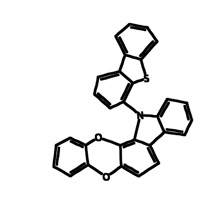 c1ccc2c(c1)Oc1ccc3c4ccccc4n(-c4cccc5c4sc4ccccc45)c3c1O2